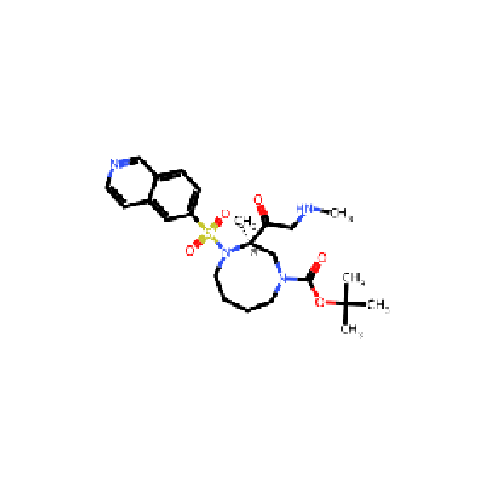 CNCC(=O)[C@@]1(C)CN(C(=O)OC(C)(C)C)CCCCN1S(=O)(=O)c1ccc2cnccc2c1